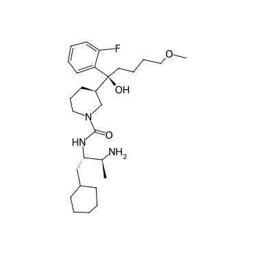 COCCCC[C@@](O)(c1ccccc1F)[C@@H]1CCCN(C(=O)N[C@@H](CC2CCCCC2)[C@H](C)N)C1